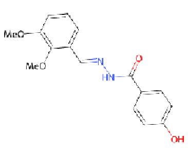 COc1cccc(/C=N/NC(=O)c2ccc(O)cc2)c1OC